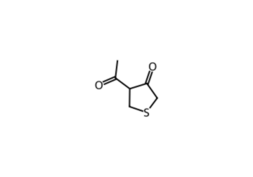 CC(=O)C1CSCC1=O